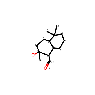 CC1(C)CCCC2C1CCC(C)(O)C2C=O